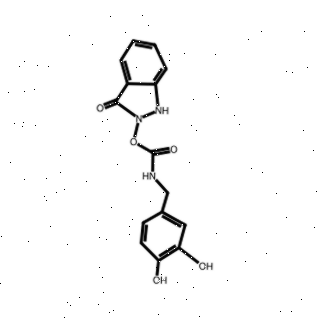 O=C(NCc1ccc(O)c(O)c1)On1[nH]c2ccccc2c1=O